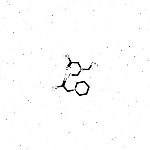 CCN(CC)CC(=O)O.O=C(O)CN1CCCCC1